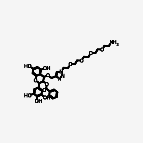 NCCOCCOCCOCCOCCn1cc(COC2c3c(O)cc(O)cc3OC(c3cc(O)c(O)c(O)c3)C2OC(=O)c2ccccc2)nn1